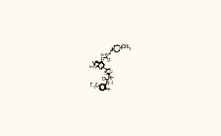 CN1CCN(CCNC(=O)Oc2cc(-c3cnc(NC(=O)Nc4cc(C(F)(F)F)ccc4F)s3)nc3[nH]ncc23)CC1